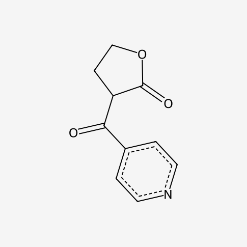 O=C1OCCC1C(=O)c1ccncc1